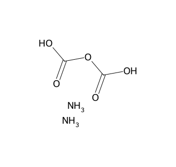 N.N.O=C(O)OC(=O)O